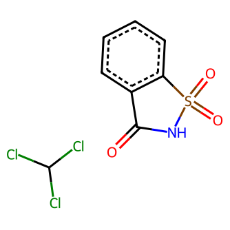 ClC(Cl)Cl.O=C1NS(=O)(=O)c2ccccc21